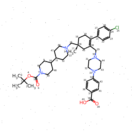 CC(C)(C)OC(=O)N1CCC(C2CCN(C[C@]3(C)CCC(c4ccc(Cl)cc4)=C(CN4CCN(c5ccc(C(=O)O)cc5)CC4)C3)CC2)CC1